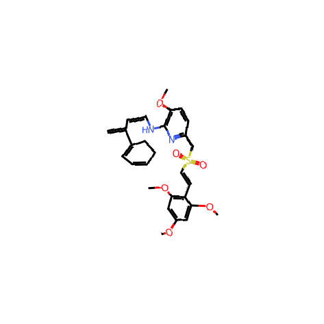 C=C(/C=C\Nc1nc(CS(=O)(=O)/C=C/c2c(OC)cc(OC)cc2OC)ccc1OC)C1=CC=CCC1